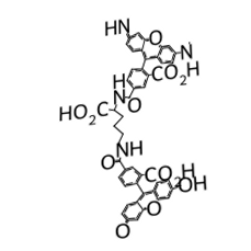 CN(C)c1ccc2c(-c3ccc(C(=O)NC(CCCCNC(=O)c4ccc(-c5c6ccc(=O)cc-6oc6cc(O)ccc56)c(C(=O)O)c4)C(=O)O)cc3C(=O)O)c3ccc(=N)cc-3oc2c1